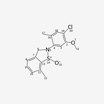 COc1cc(N2Cc3cccc(C)c3[S+]2[O-])c(C)cc1Cl